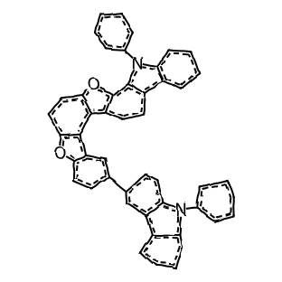 c1ccc(-n2c3ccccc3c3cc(-c4ccc5oc6ccc7oc8c(ccc9c%10ccccc%10n(-c%10ccccc%10)c98)c7c6c5c4)ccc32)cc1